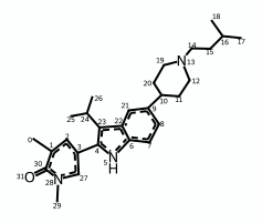 Cc1cc(-c2[nH]c3ccc(C4CCN(CCC(C)C)CC4)cc3c2C(C)C)cn(C)c1=O